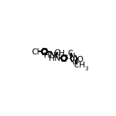 CN1C[C@H](c2ccc(NC(=O)NCc3ccc(Cl)cc3)cc2)N(C)CC1=O